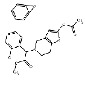 COC(=O)C(c1ccccc1Cl)N1CCc2sc(OC(C)=O)cc2C1.c1ccc2c(c1)O2